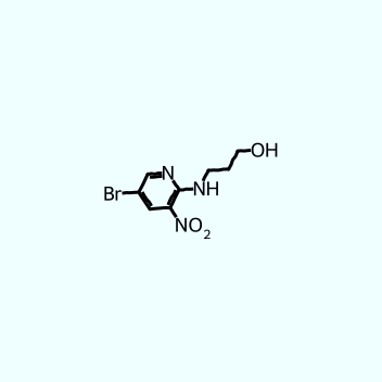 O=[N+]([O-])c1cc(Br)cnc1NCCCO